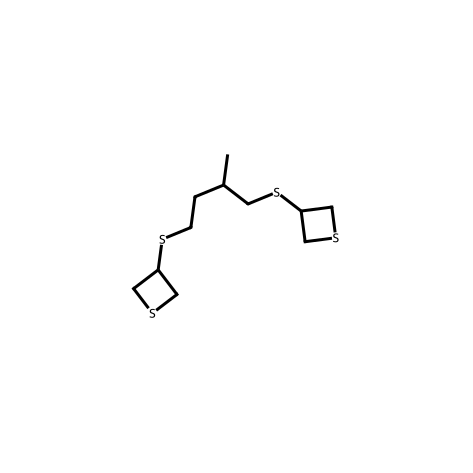 CC(CCSC1CSC1)CSC1CSC1